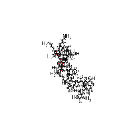 CC(C)[C@H](NC(=O)[C@@H](NC(=O)[C@H](C)NC(=O)[C@H](CO)NC(=O)[C@@H](N)[C@@H](C)O)[C@@H](C)O)C(=O)NCC(=O)N1CCC[C@H]1C(=O)N[C@@H](CCCCN)C(=O)N[C@@H](C)C(=O)N1CCC[C@H]1C(=O)N[C@@H](CO)C(=O)NCC(=O)NCC(=O)N[C@@H](CCCCN)C(=O)N[C@@H](CCCCN)C(=O)N[C@@H](C)C(=O)N[C@H](C(=O)N[C@@H](CCC(N)=O)C(=O)N[C@@H](C)C(=O)N[C@@H](CO)C(=O)O)[C@@H](C)O